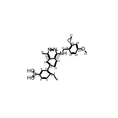 CCc1ccc(B(O)O)cc1-c1ccc2c(NCc3ccc(OC)cc3OC)nnc(C)c2c1